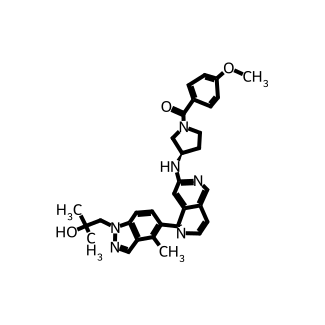 COc1ccc(C(=O)N2CC[C@@H](Nc3cc4c(-c5ccc6c(cnn6CC(C)(C)O)c5C)nccc4cn3)C2)cc1